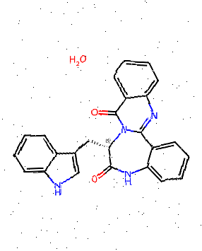 O.O=C1Nc2ccccc2-c2nc3ccccc3c(=O)n2[C@H]1Cc1c[nH]c2ccccc12